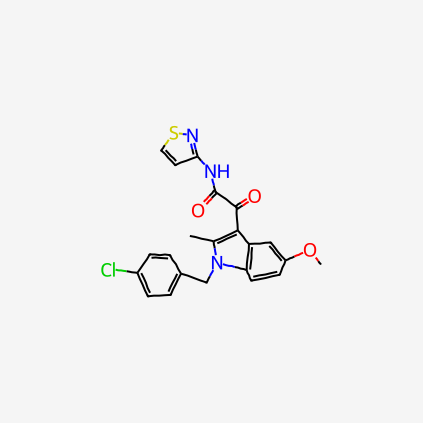 COc1ccc2c(c1)c(C(=O)C(=O)Nc1ccsn1)c(C)n2Cc1ccc(Cl)cc1